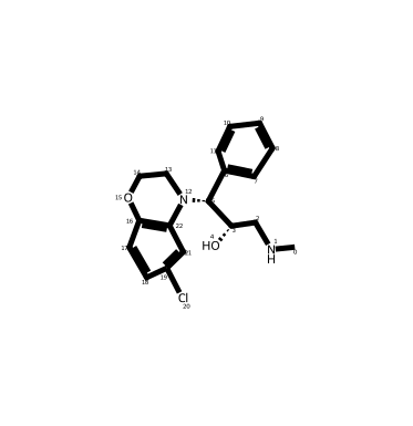 CNC[C@H](O)[C@@H](c1ccccc1)N1CCOc2ccc(Cl)cc21